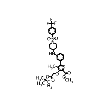 COC(=O)c1sc(-c2cccc(NC3CCN(S(=O)(=O)c4ccc(C(F)(F)F)cc4)CC3)c2)c(C)c1OCC(=O)OC(C)(C)C